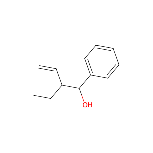 C=CC(CC)C(O)c1ccccc1